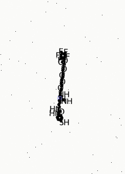 N=N/C(=C\NCCOCCOCCOCCOCCC(=O)Oc1c(F)c(F)c(F)c(F)c1F)CCCCNC(=O)Nc1ccc(S)cc1